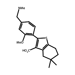 CNCc1ccc(-c2sc3c(c2C(=O)O)CC(C)(C)CC3)c(OC)c1